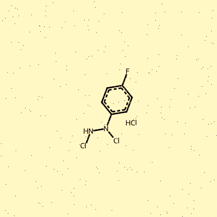 Cl.Fc1ccc(N(Cl)NCl)cc1